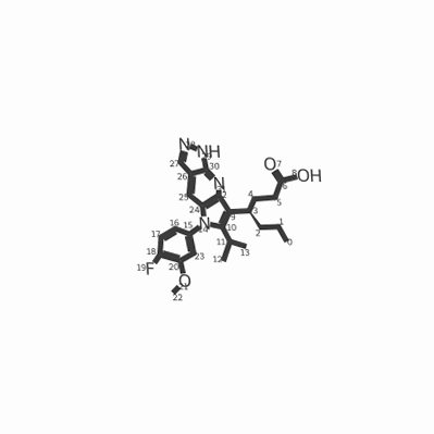 CCC[C@H](CCC(=O)O)c1c(C(C)C)n(-c2ccc(F)c(OC)c2)c2cc3cn[nH]c3nc12